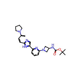 C=C(/C=C\c1ncc(-c2cccc(N3CC(NC(=O)OC(C)(C)C)C3)n2)[nH]1)N1CCCC1